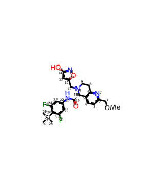 COCc1ccc2c(n1)CCN(Cc1cc(O)no1)[C@H]2C(=O)Nc1cc(F)c([Si](C)(C)C)c(F)c1